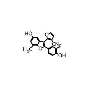 Cc1cc(O)cc2c(-c3occc3C#N)c(-c3ccc(O)c(F)c3)oc12